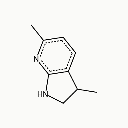 Cc1ccc2c(n1)NCC2C